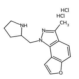 Cc1nn(CC2CCCN2)c2c1ccc1occc12.Cl.Cl